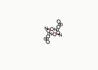 N#Cc1ccc(-n2c3ccccc3c3cc4oc5ccccc5c4cc32)c(-c2cc(C#N)ccc2-n2c3ccccc3c3cc4oc5ccccc5c4cc32)c1